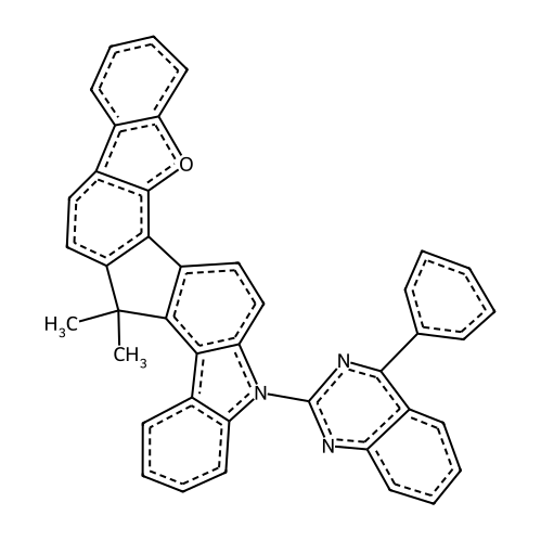 CC1(C)c2ccc3c(oc4ccccc43)c2-c2ccc3c(c21)c1ccccc1n3-c1nc(-c2ccccc2)c2ccccc2n1